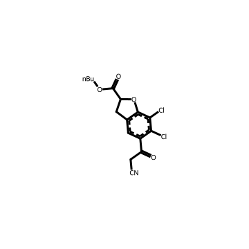 CCCCOC(=O)C1Cc2cc(C(=O)CC#N)c(Cl)c(Cl)c2O1